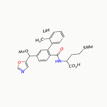 COC(c1ccc(C(=O)NC(CCSC)C(=O)O)c(-c2ccccc2C)c1)c1cnco1.[LiH]